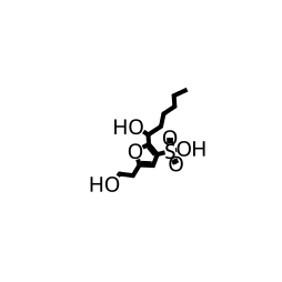 CCCCCC(O)c1oc(CCO)cc1S(=O)(=O)O